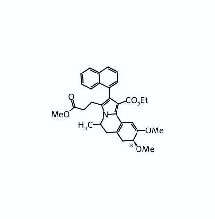 CCOC(=O)c1c(-c2cccc3ccccc23)c(CCC(=O)OC)n2c1C1=C(CC2C)C[C@H](OC)C(OC)=C1